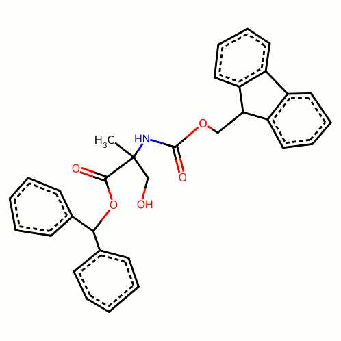 CC(CO)(NC(=O)OCC1c2ccccc2-c2ccccc21)C(=O)OC(c1ccccc1)c1ccccc1